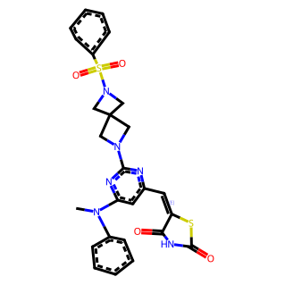 CN(c1ccccc1)c1cc(/C=C2/SC(=O)NC2=O)nc(N2CC3(C2)CN(S(=O)(=O)c2ccccc2)C3)n1